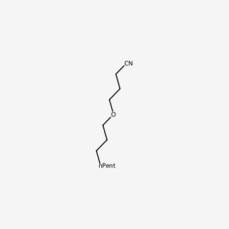 CCCCCCCCOCCCC#N